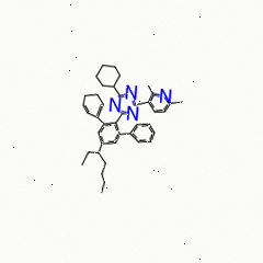 CCCCC(CC)c1cc(C2=CCCC=C2)c(-c2nc(-c3ccc(C)nc3C)nc(C3CCCCC3)n2)c(-c2ccccc2)c1